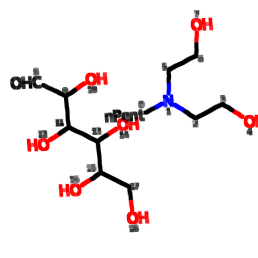 CCCCCN(CCO)CCO.O=CC(O)C(O)C(O)C(O)CO